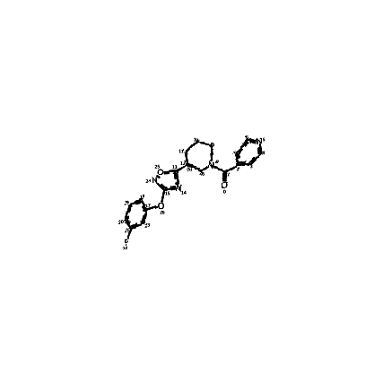 O=C(c1ccncc1)N1CCC[C@H](c2nc(Oc3cccc(F)c3)no2)C1